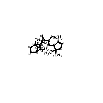 CCC(CC1CCCC1(C)C)N(I)C1CC2CCC1(C)C2(C)C